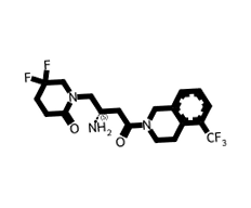 N[C@@H](CC(=O)N1CCc2c(cccc2C(F)(F)F)C1)CN1CC(F)(F)CCC1=O